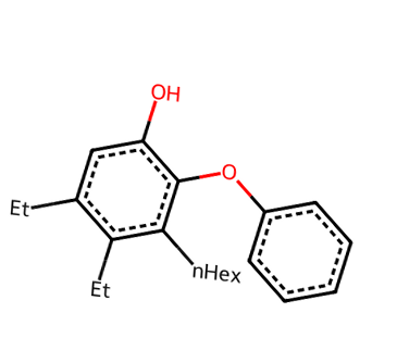 CCCCCCc1c(CC)c(CC)cc(O)c1Oc1ccccc1